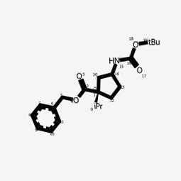 CC(C)[C@]1(C(=O)OCc2ccccc2)CCC(NC(=O)OC(C)(C)C)C1